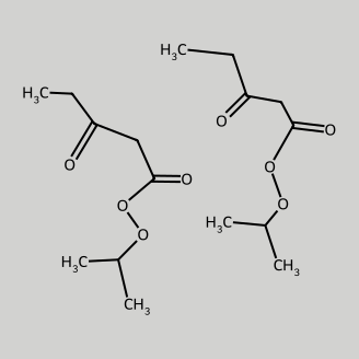 CCC(=O)CC(=O)OOC(C)C.CCC(=O)CC(=O)OOC(C)C